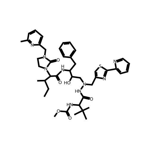 CCC(C)C(C(=O)NC(Cc1ccccc1)C(O)CN(Cc1csc(-c2ccccn2)n1)NC(=O)C(NC(=O)OC)C(C)(C)C)N1CCN(Cc2cccc(C)n2)C1=O